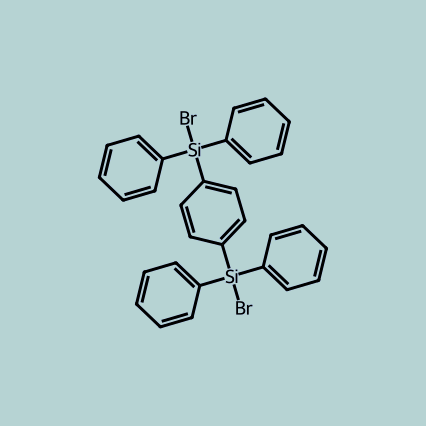 Br[Si](c1ccccc1)(c1ccccc1)c1ccc([Si](Br)(c2ccccc2)c2ccccc2)cc1